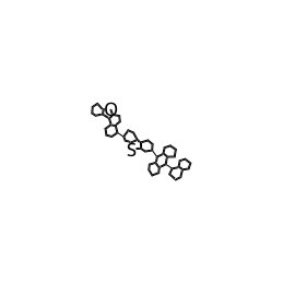 c1ccc2c(-c3c4ccccc4c(-c4ccc5c(c4)sc4cc(-c6cccc7c6ccc6oc8ccccc8c67)ccc45)c4ccccc34)cccc2c1